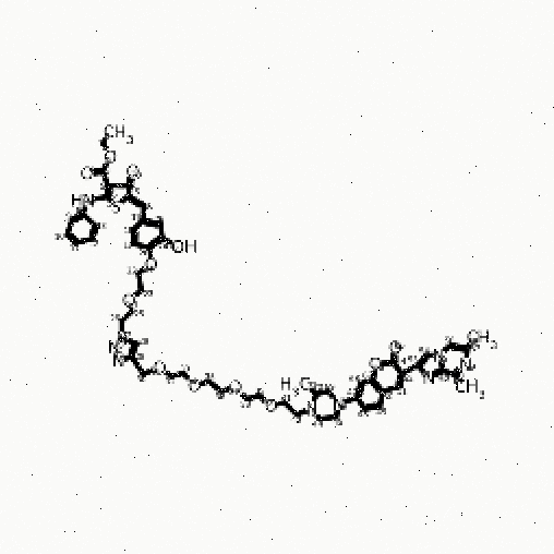 CCOC(=O)C1=C(Nc2ccccc2)S/C(=C\c2ccc(OCCOCCn3cc(COCCOCCOCCOCCN4CCN(c5ccc6cc(-c7cn8cc(C)nc(C)c8n7)c(=O)oc6c5)CC4C)nn3)c(O)c2)C1=O